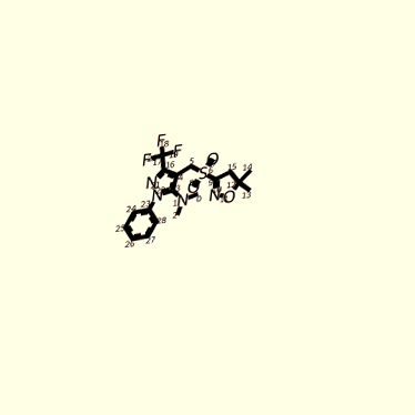 CN(C)c1c(CS(=O)(=O)C2=NOC(C)(C)C2)c(C(F)(F)F)nn1-c1ccccc1